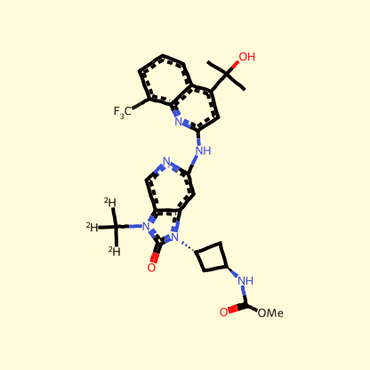 [2H]C([2H])([2H])n1c(=O)n([C@H]2C[C@H](NC(=O)OC)C2)c2cc(Nc3cc(C(C)(C)O)c4cccc(C(F)(F)F)c4n3)ncc21